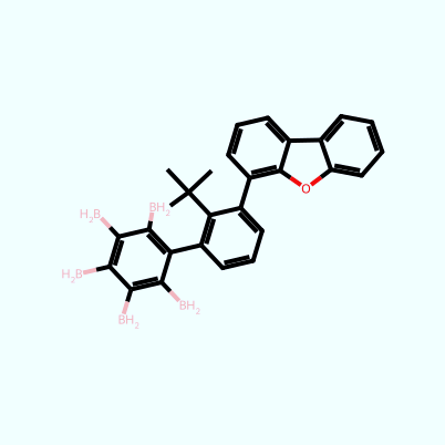 Bc1c(B)c(B)c(-c2cccc(-c3cccc4c3oc3ccccc34)c2C(C)(C)C)c(B)c1B